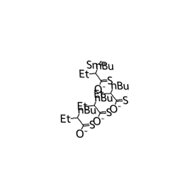 CCCCC(CC)C([O-])=S.CCCCC(CC)C([O-])=S.CCCCC(CC)C([O-])=S.CCCCC(CC)C([O-])=S.[Sn+4]